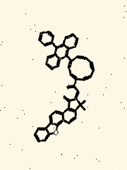 C=C(/C=C1\C(=C)c2c(ccc3c2ccc2c4ccccc4oc32)C1(C)C)c1ccccccc(-c2c3ccccc3c(-c3ccccc3)c3ccccc23)cc1